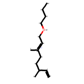 C=CC(C)CC/C(C)=C/COCCCC